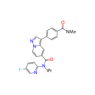 CNC(=O)c1ccc(-c2cnn3ccc(C(=O)N(c4ccc(F)cn4)C(C)C)cc23)cc1